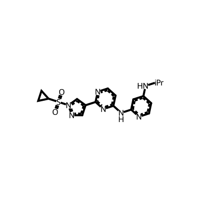 CC(C)Nc1ccnc(Nc2ccnc(-c3cnn(S(=O)(=O)C4CC4)c3)n2)c1